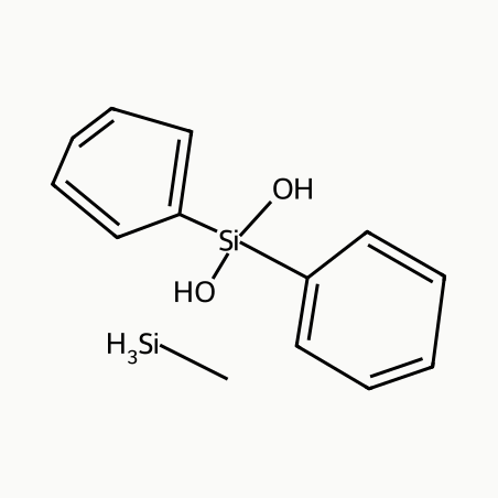 C[SiH3].O[Si](O)(c1ccccc1)c1ccccc1